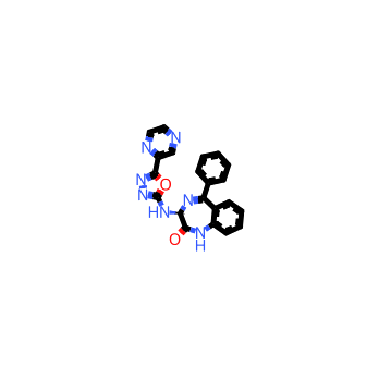 O=C1Nc2ccccc2C(c2ccccc2)=N[C@@H]1Nc1nnc(-c2cnccn2)o1